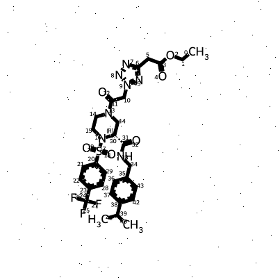 CCOC(=O)Cc1nnn(CC(=O)N2CCN(S(=O)(=O)c3ccc(C(F)(F)F)cc3)[C@@H](C(=O)NCc3ccc(C(C)C)cc3)C2)n1